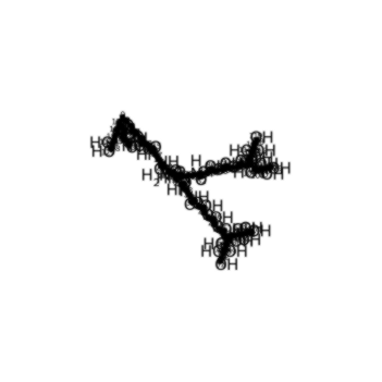 CC(COCC(O)COCC(O)COC(=O)NCCNC(=O)C[C@@H](N)C(=O)N[C@@H](CC(=O)NCCNC(=O)OCC(O)COCC(O)COCC(O)CN(C[C@H](O)[C@@H](O)[C@H](O)[C@H](O)CO)C[C@H](O)[C@@H](O)[C@H](O)CCO)C(=O)NCCNC(=O)OCC(O)COCC(O)COCC(O)CN(C[C@H](O)[C@@H](C)[C@H](O)[C@H](O)CO)C[C@H](O)[C@@H](O)[C@H](O)CCO)CN(CCCC[C@H](O)CO)CCCC[C@H](O)CO